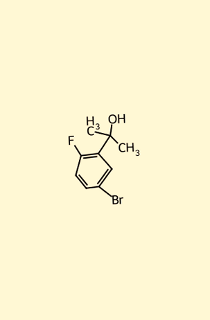 CC(C)(O)c1cc(Br)ccc1F